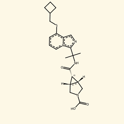 CC(C)(NC(=O)[C@@H]1[C@@H]2CN(C(=O)O)C[C@@H]21)c1ncc2c(SCC3CCC3)cccn12